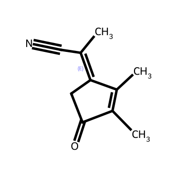 CC1=C(C)/C(=C(\C)C#N)CC1=O